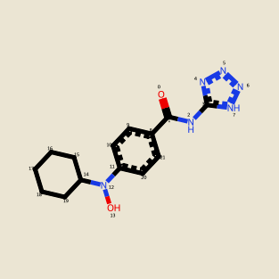 O=C(Nc1nnn[nH]1)c1ccc(N(O)C2CCCCC2)cc1